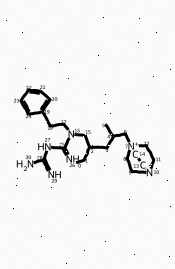 CCC(CC(C)C[N+]12CCN(CC1)CC2)CN(CCc1ccccc1)C(=N)NC(=N)N